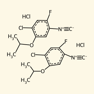 Cl.Cl.[C-]#[N+]c1cc(OC(C)C)c(Cl)cc1F.[C-]#[N+]c1cc(OC(C)C)c(Cl)cc1F